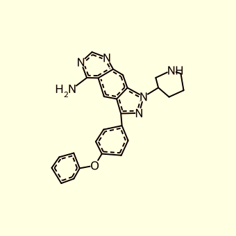 Nc1ncnc2cc3c(cc12)c(-c1ccc(Oc2ccccc2)cc1)nn3C1CCCNC1